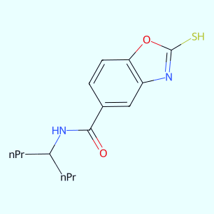 CCCC(CCC)NC(=O)c1ccc2oc(S)nc2c1